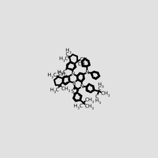 Cc1cc2c(cc1N1c3cc4c(cc3B3c5sc6ccc(C(C)(C)C)cc6c5N(c5ccc(C(C)(C)C)cc5)c5cc(N(c6ccccc6)c6ccccc6)cc1c53)C(C)(C)CCC4(C)C)C(C)(C)CCC2(C)C